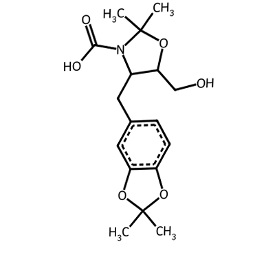 CC1(C)Oc2ccc(CC3C(CO)OC(C)(C)N3C(=O)O)cc2O1